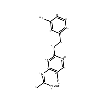 CCCCC/C(C)=N\c1nc(OCc2cccc(F)c2)ncc1F